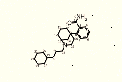 NC(=O)c1ccccc1C12CCCC(C1)N(CCCC1CCCCC1)CC2